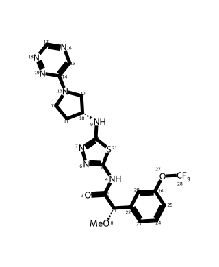 CO[C@H](C(=O)Nc1nnc(N[C@@H]2CCN(c3cncnn3)C2)s1)c1cccc(OC(F)(F)F)c1